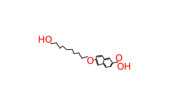 O=C(O)c1ccc2cc(OCCCCCCCCCCO)ccc2c1